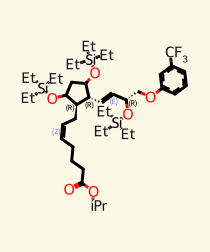 CC[Si](CC)(CC)OC1CC(O[Si](CC)(CC)CC)[C@H](C/C=C\CCCC(=O)OC(C)C)[C@H]1/C=C/[C@H](COc1cccc(C(F)(F)F)c1)O[Si](CC)(CC)CC